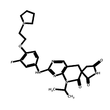 CC(C)N1C(=O)C2(CC(=O)NC2=O)Cc2cnc(Nc3ccc(OCCN4CCCC4)c(F)c3)nc21